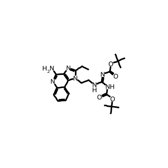 CCc1nc2c(N)nc3ccccc3c2n1CCNC(=NC(=O)OC(C)(C)C)NC(=O)OC(C)(C)C